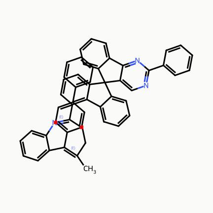 C/C1=C(/c2ccc(-c3ccccc3)cc2)c2ccccc2/N=C(/c2cccc3c2-c2ccccc2C32c3ccccc3-c3nc(-c4ccccc4)ncc32)CC1